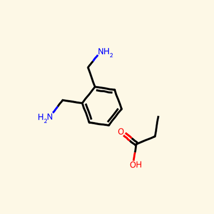 CCC(=O)O.NCc1ccccc1CN